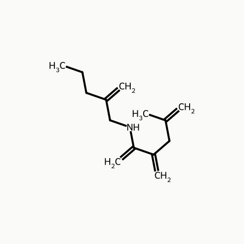 C=C(C)CC(=C)C(=C)NCC(=C)CCC